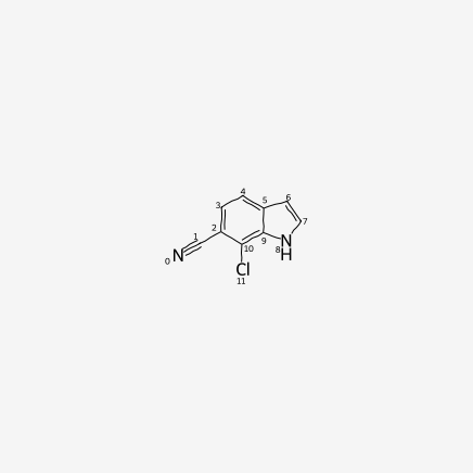 N#Cc1ccc2cc[nH]c2c1Cl